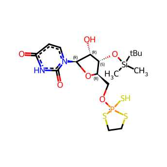 CC(C)(C)[Si](C)(C)O[C@H]1[C@@H](O)[C@H](n2ccc(=O)[nH]c2=O)O[C@@H]1CO[P]1(S)SCCS1